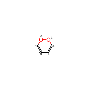 [C]1=COOC=C1